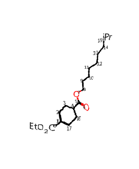 CCOC(=O)C1CCC(C(=O)OCCCCCCCC(C)C)CC1